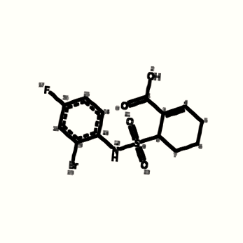 O=C(O)C1=CCCCC1S(=O)(=O)Nc1ccc(F)cc1Br